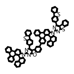 c1ccc2c(c1)ccc1c2c2c3c4ccccc4c4ccccc4c3ccc2n1-c1nc(-c2ccc3c(c2)sc2ccccc23)c2c(n1)oc1ccc(-c3ccc4c(c3)c3ccccc3c3ccc5c(c34)c3c4ccccc4ccc3n5-c3nc(-c4ccc5c(c4)sc4ccccc45)c4c(n3)sc3ccccc34)cc12